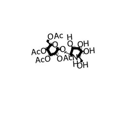 CC(=O)OC[C@H]1O[C@@H](OC[C@H]2N[C@H](CO)[C@@H](O)[C@H](O)[C@H]2O)[C@H](OC(C)=O)[C@@H](OC(C)=O)[C@@H]1OC(C)=O